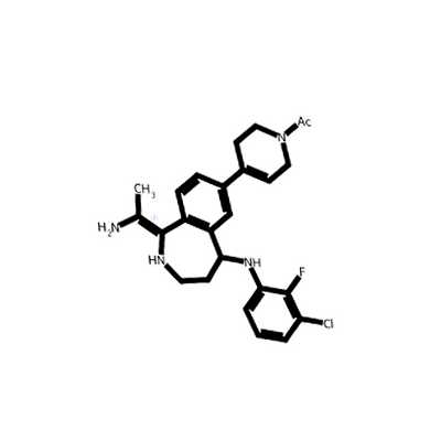 CC(=O)N1CC=C(c2ccc3c(c2)C(Nc2cccc(Cl)c2F)CCN/C3=C(/C)N)CC1